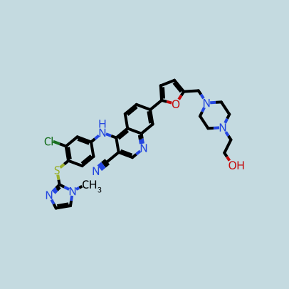 Cn1ccnc1Sc1ccc(Nc2c(C#N)cnc3cc(-c4ccc(CN5CCN(CCO)CC5)o4)ccc23)cc1Cl